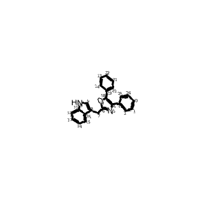 c1ccc(-c2nc(Cc3c[nH]c4ccccc34)oc2-c2ccccc2)cc1